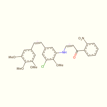 COc1cc(/C=C\c2cc(Cl)c(OC)c(N/C=C\C(=O)c3ccccc3[N+](=O)[O-])c2)cc(OC)c1OC